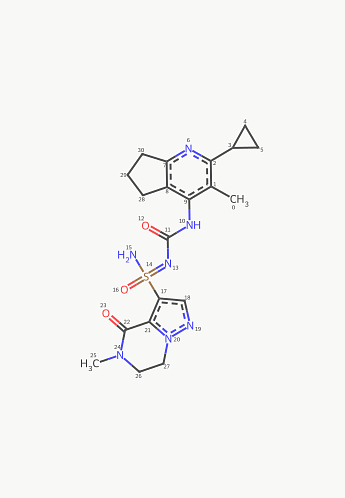 Cc1c(C2CC2)nc2c(c1NC(=O)N=S(N)(=O)c1cnn3c1C(=O)N(C)CC3)CCC2